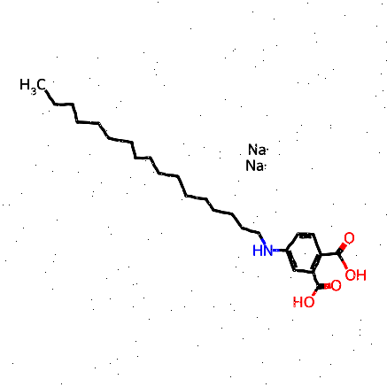 CCCCCCCCCCCCCCCCCNc1ccc(C(=O)O)c(C(=O)O)c1.[Na].[Na]